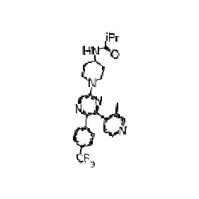 Cc1cnccc1-c1nc(N2CCC(NC(=O)C(C)C)CC2)cnc1-c1ccc(C(F)(F)F)cc1